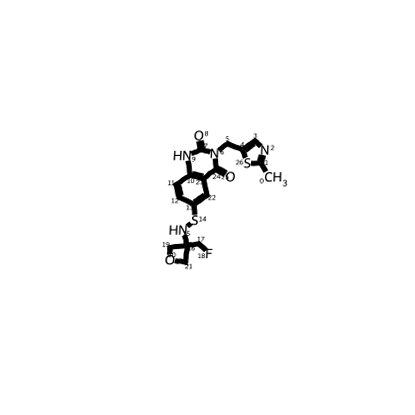 Cc1ncc(Cn2c(=O)[nH]c3ccc(SNC4(CF)COC4)cc3c2=O)s1